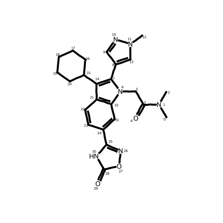 CN(C)C(=O)Cn1c(-c2cnn(C)c2)c(C2CCCCC2)c2ccc(-c3noc(=O)[nH]3)cc21